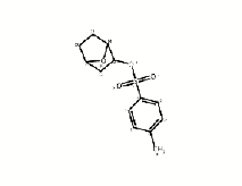 Cc1ccc(S(=O)(=O)OC2CC3CCC2O3)cc1